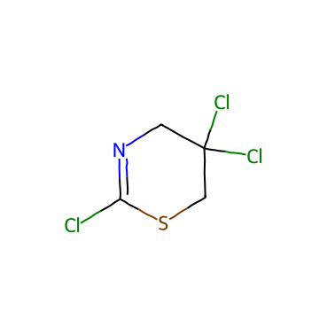 ClC1=NCC(Cl)(Cl)CS1